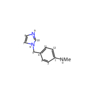 CNc1ccc(Cn2ccnc2)cc1